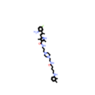 C/C(=C\c1[nH]c(C)c(C(=O)NCCCN2CCN(CCNC(=O)CCCCNc3cccc(C)c3C)CC2)c1C)c1cc(F)ccc1N